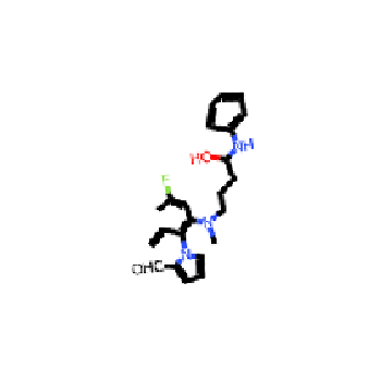 C=C/C(=C(\C=C(/C)F)N(C)CCCC(O)Nc1ccccc1)n1cccc1C=O